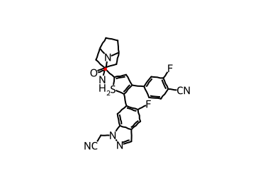 N#CCn1ncc2cc(F)c(-c3sc(C(=O)N4C5CCC4CC(N)C5)cc3-c3ccc(C#N)c(F)c3)cc21